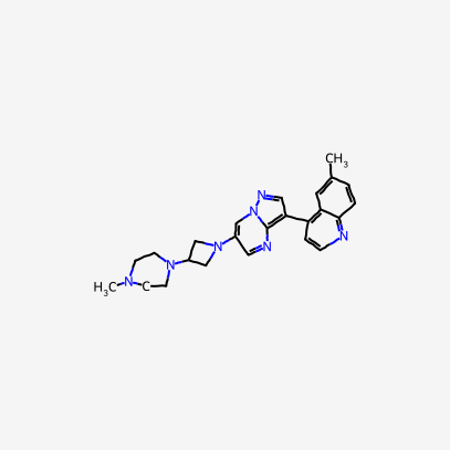 Cc1ccc2nccc(-c3cnn4cc(N5CC(N6CCN(C)CC6)C5)cnc34)c2c1